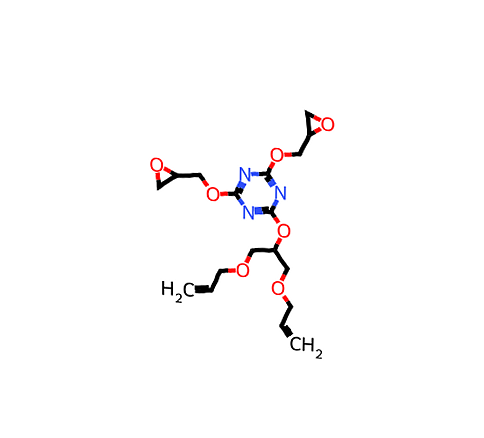 C=CCOCC(COCC=C)Oc1nc(OCC2CO2)nc(OCC2CO2)n1